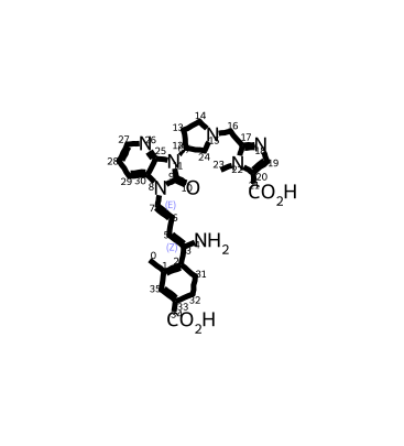 CC1=C(/C(N)=C/C=C/n2c(=O)n([C@H]3CCN(Cc4ncc(C(=O)O)n4C)C3)c3ncccc32)CCC(C(=O)O)=C1